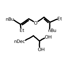 CCCCC(=COC=C(CC)CCCC)CC.CCCCCCCCCCCC(O)O